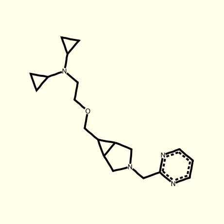 c1cnc(CN2CC3C(COCCN(C4CC4)C4CC4)C3C2)nc1